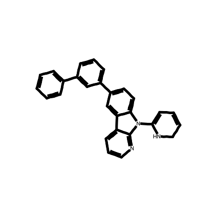 C1=CCNC(n2c3ccc(-c4cccc(-c5ccccc5)c4)cc3c3cccnc32)=C1